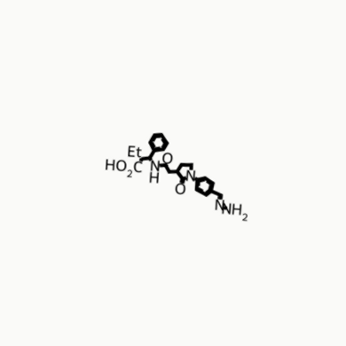 CCC(C(=O)O)C(NC(=O)CC1CCN(c2ccc(C=NN)cc2)C1=O)c1ccccc1